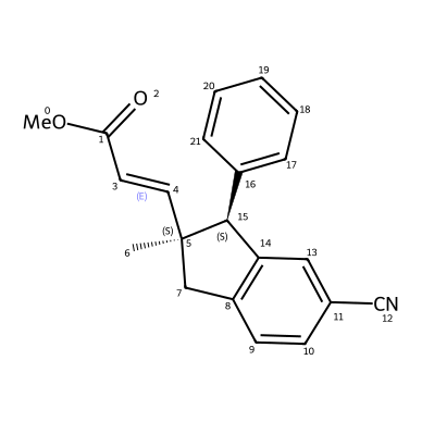 COC(=O)/C=C/[C@]1(C)Cc2ccc(C#N)cc2[C@@H]1c1ccccc1